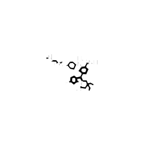 CCC1(CC)CC(=O)n2c(c(-c3ccc(C(N)=O)c(N[C@H]4CC[C@H](OC(=O)NCCN(C)C)CC4)c3)c3ccc(F)cc32)C1